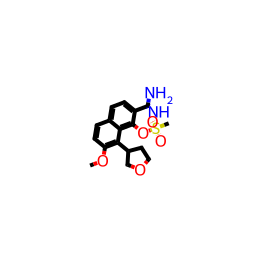 COc1ccc2ccc(C(=N)N)c(OS(C)(=O)=O)c2c1C1CCOC1